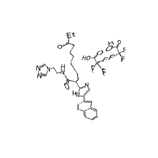 CCC(=O)CCCCCC(C(=O)NCCn1cnnc1)c1ncc(-c2ccc3ccccc3c2)[nH]1.O=C(O)C(F)(F)F.O=C(O)C(F)(F)F